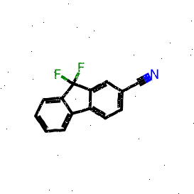 N#Cc1ccc2c(c1)C(F)(F)c1ccccc1-2